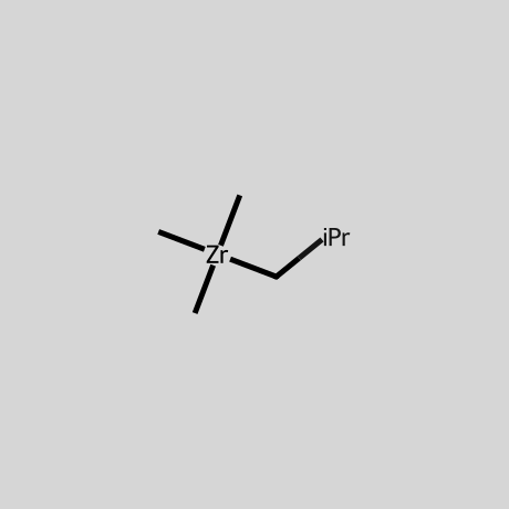 CC(C)[CH2][Zr]([CH3])([CH3])[CH3]